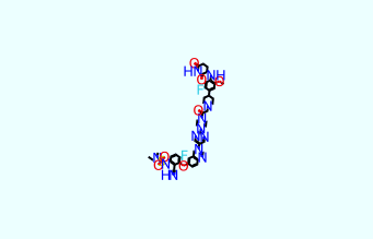 CCN(C)S(=O)(=O)Nc1ccc(F)c(Oc2ccc3c(c2)CN(c2cnc(N4CCN(C(=O)CN5CCC(c6cc(OC)c(NC7CCC(=O)NC7=O)cc6F)CC5)CC4)nc2)C=N3)c1C#N